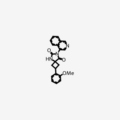 COc1ccccc1C1CC2(C1)NC(=O)N(c1cncc3ccccc13)C2=O